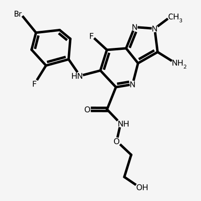 Cn1nc2c(F)c(Nc3ccc(Br)cc3F)c(C(=O)NOCCO)nc2c1N